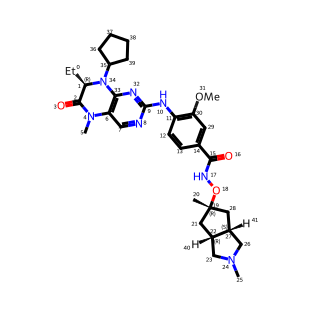 CC[C@@H]1C(=O)N(C)c2cnc(Nc3ccc(C(=O)NO[C@@]4(C)C[C@H]5CN(C)C[C@H]5C4)cc3OC)nc2N1C1CCCC1